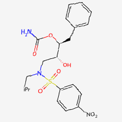 CC(C)CN(C[C@@H](O)[C@H](Cc1ccccc1)OC(N)=O)S(=O)(=O)c1ccc([N+](=O)[O-])cc1